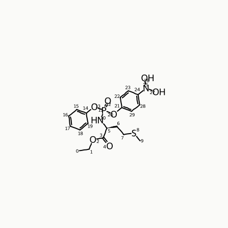 CCOC(=O)[C@H](CCSC)NP(=O)(Oc1ccccc1)Oc1ccc(N(O)O)cc1